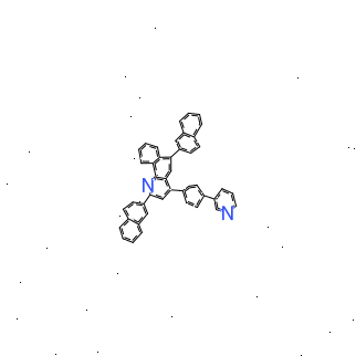 c1cncc(-c2ccc(-c3cc(-c4ccc5ccccc5c4)nc4c3cc(-c3ccc5ccccc5c3)c3ccccc34)cc2)c1